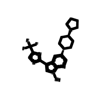 FC(F)(F)c1csc(-c2cn(S)c3ncc([C@H]4CC[C@H](N5CCCC5)CC4)cc23)n1